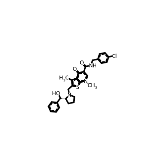 Cc1c(CN2CCC[C@@H]2C(O)c2ccccc2)sc2c1c(=O)c(C(=O)NCc1ccc(Cl)cc1)cn2C